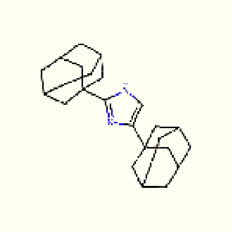 c1[nH]c(C23CC4CC(CC(C4)C2)C3)nc1C12CC3CC(CC(C3)C1)C2